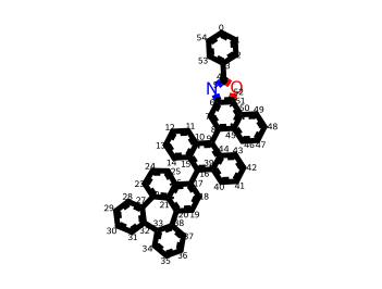 c1ccc(-c2nc3cc(-c4c5ccccc5c(-c5ccc6c7c(cccc57)-c5ccccc5-c5ccccc5-6)c5ccccc45)c4ccccc4c3o2)cc1